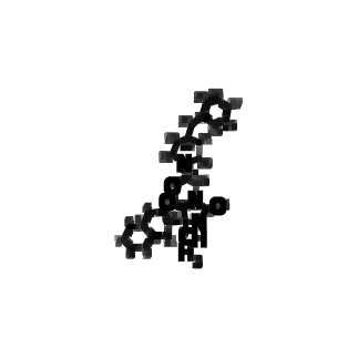 CC1(c2ccc3ccccc3c2)NC(=O)N(CC(=O)N2CCC(Cc3ccccc3)CC2)C1=O